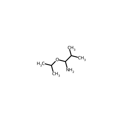 CC(C)OC(N)C(C)C